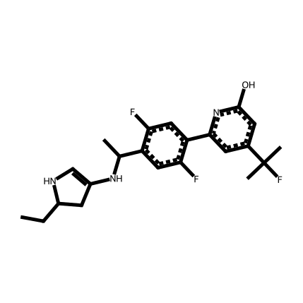 CCC1CC(NC(C)c2cc(F)c(-c3cc(C(C)(C)F)cc(O)n3)cc2F)=CN1